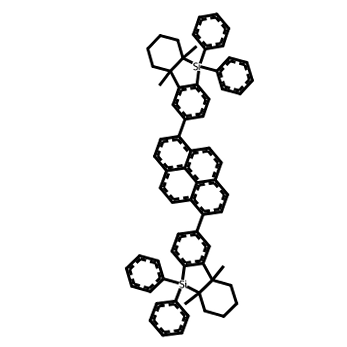 CC12CCCCC1(C)[Si](c1ccccc1)(c1ccccc1)c1ccc(-c3ccc4ccc5c(-c6ccc7c(c6)C6(C)CCCCC6(C)[Si]7(c6ccccc6)c6ccccc6)ccc6ccc3c4c65)cc12